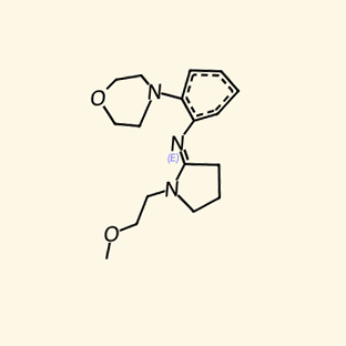 COCCN1CCC/C1=N\c1ccccc1N1CCOCC1